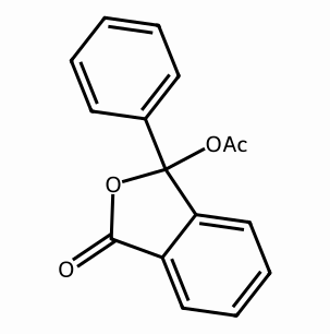 CC(=O)OC1(c2ccccc2)OC(=O)c2ccccc21